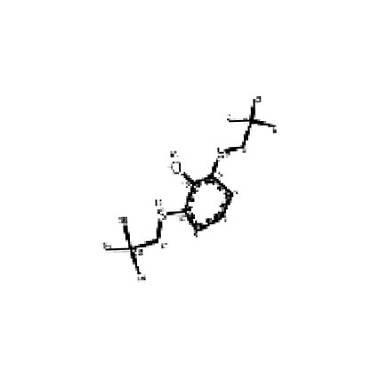 CC(C)(C)CSc1cccc(SCC(C)(C)C)c1[O]